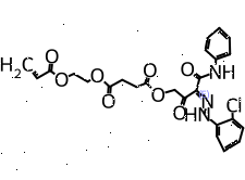 C=CC(=O)OCCOC(=O)CCC(=O)OCC(=O)/C(=N\Nc1ccccc1Cl)C(=O)Nc1ccccc1